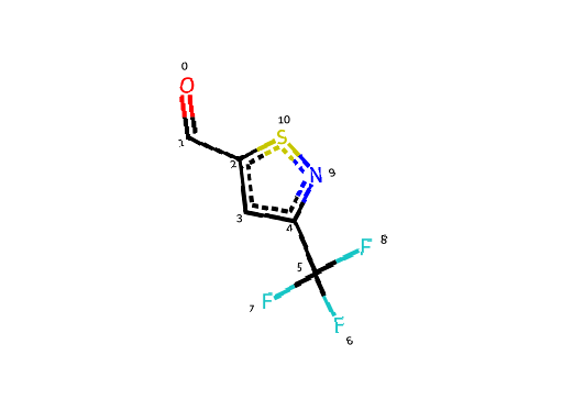 O=Cc1cc(C(F)(F)F)ns1